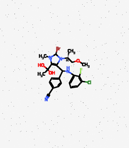 COC[C@@H](C)N1C(C(Nc2cccc(Cl)c2F)c2ccc(C#N)cc2)=C(C(C)(O)O)N(C)C1Br